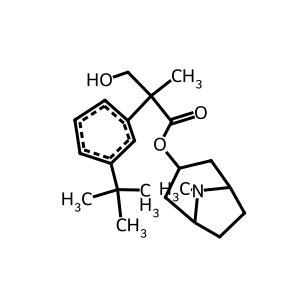 CN1C2CCC1CC(OC(=O)C(C)(CO)c1cccc(C(C)(C)C)c1)C2